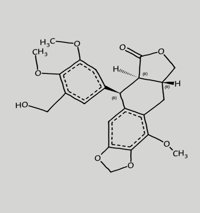 COc1cc([C@@H]2c3cc4c(c(OC)c3C[C@H]3COC(=O)[C@@H]32)OCO4)cc(CO)c1OC